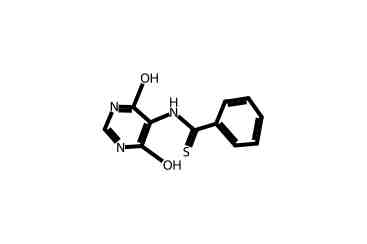 Oc1ncnc(O)c1NC(=S)c1ccccc1